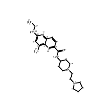 O=C(NC1CCN(CCN2CCCC2)CC1)c1ccc2nc(NCC(F)(F)F)cc(C(F)(F)F)c2n1